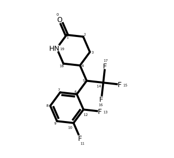 O=C1CCC(C(c2cccc(F)c2F)C(F)(F)F)CN1